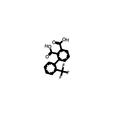 O=C(O)c1cccc(-c2ccccc2C(F)(F)F)c1C(=O)O